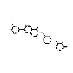 Nc1nc(-c2cc3ncn(CC4CCC[C@H](Nc5cn[nH]c(=O)c5C(F)(F)F)C4)c(=O)c3cc2F)ncc1C(F)(F)F